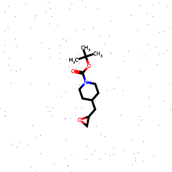 CC(C)(C)OC(=O)N1CCC(CC2CO2)CC1